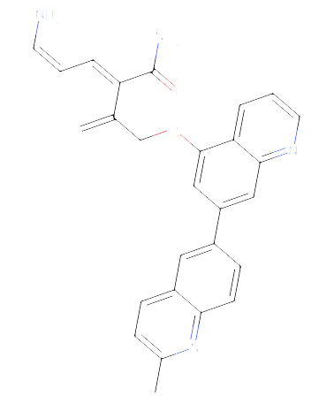 C=C(COc1cc(-c2ccc3nc(C)ccc3c2)cc2ncccc12)/C(=C\C=C/N)C(N)=O